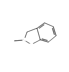 CN1Bc2ccccc2C1